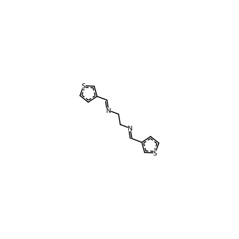 C(=NCCN=Cc1ccsc1)c1ccsc1